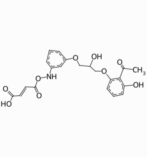 CC(=O)c1c(O)cccc1OCC(O)COc1cccc(NOC(=O)C=CC(=O)O)c1